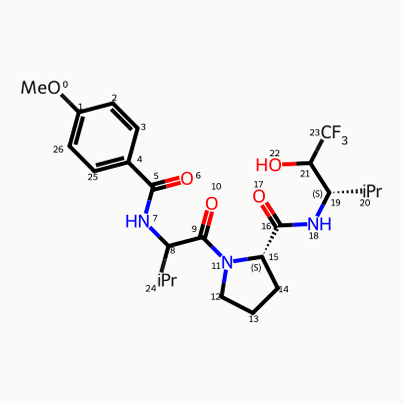 COc1ccc(C(=O)NC(C(=O)N2CCC[C@H]2C(=O)N[C@@H](C(C)C)C(O)C(F)(F)F)C(C)C)cc1